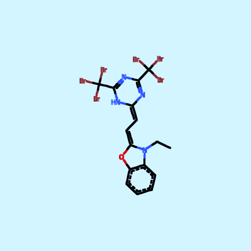 CCN1C(=CC=C2N=C(C(Br)(Br)Br)N=C(C(Br)(Br)Br)N2)Oc2ccccc21